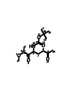 CON(C)C(=O)C(CCC(C)=O)NC(=O)OC(C)(C)C